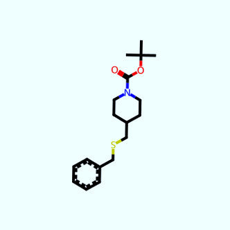 CC(C)(C)OC(=O)N1CCC(CSCc2ccccc2)CC1